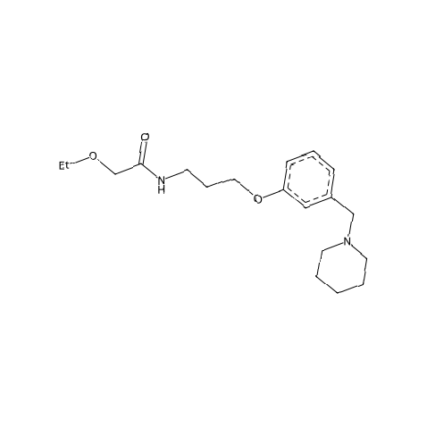 CCOCC(=O)NCCCOc1cccc(CN2CCCCC2)c1